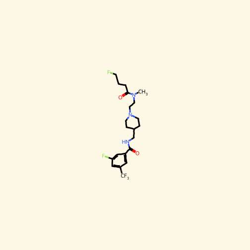 CN(CCN1CCC(CNC(=O)c2cc(F)cc(C(F)(F)F)c2)CC1)C(=O)CCCF